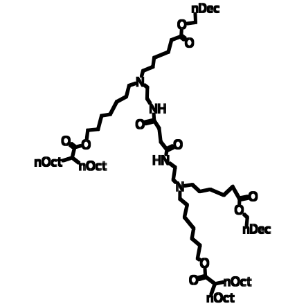 CCCCCCCCCCCOC(=O)CCCCCN(CCCCCCCOC(=O)C(CCCCCCCC)CCCCCCCC)CCNC(=O)CCC(=O)NCCN(CCCCCCCOC(=O)C(CCCCCCCC)CCCCCCCC)CCCCCC(=O)OCCCCCCCCCCC